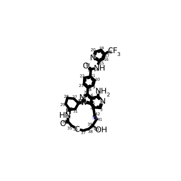 Nc1ncc2c3c1c(-c1ccc(C(=O)Nc4cc(C(F)(F)F)ccn4)cc1)nn3[C@@H]1CCC[C@H](C1)NC(=O)CCCC[C@H](O)/C=C/2